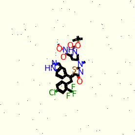 CONC(=O)C1CC(N(C)C2=NC(=O)C(=C(Cc3ccc(Cl)cc3C(F)(F)F)c3ccc4[nH]ncc4c3)S2)CN1C(=O)OC(C)(C)C